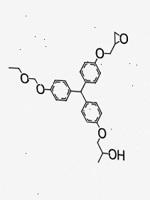 CCOCOc1ccc(C(c2ccc(OCC(C)O)cc2)c2ccc(OCC3CO3)cc2)cc1